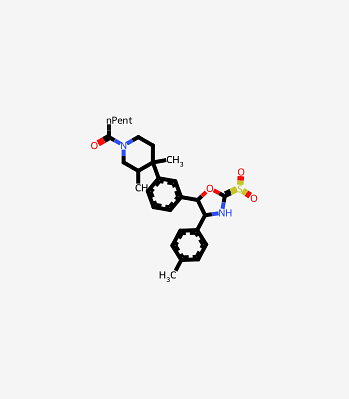 CCCCCC(=O)N1CCC(C)(c2cccc(C3OC(=S(=O)=O)NC3c3ccc(C)cc3)c2)C(C)C1